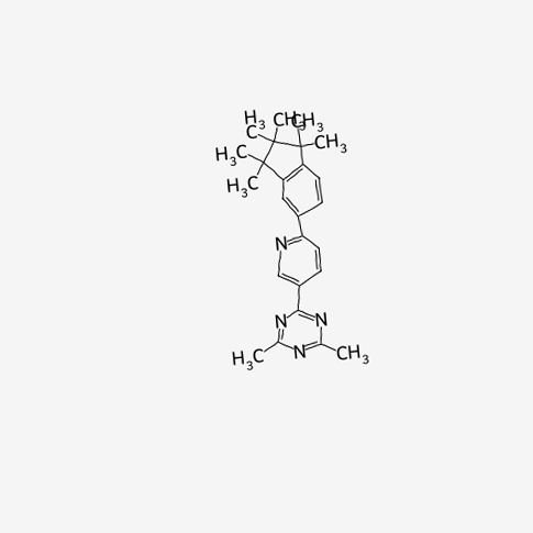 Cc1nc(C)nc(-c2ccc(-c3ccc4c(c3)C(C)(C)C(C)(C)C4(C)C)nc2)n1